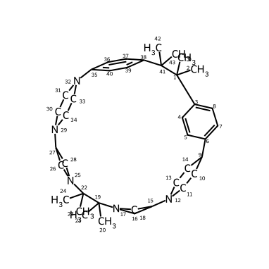 CC1(C)c2ccc(cc2)C2CCN(CC2)C2CN(C2)C(C)(C)C(C)(C)N2CC(C2)N2CCN(CC2)c2ccc(cc2)C1(C)C